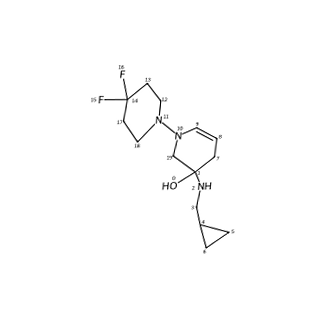 OC1(NCC2CC2)CC=CN(N2CCC(F)(F)CC2)C1